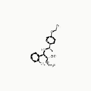 C[C@@H](NC(c1ccccc1C(F)(F)F)[C@H](C=O)NC(=O)O)c1ccc(OCC(F)(F)F)cn1